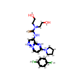 OCCN(CCO)C(=S)Nc1cnn2ccc(N3CCC[C@@H]3c3cc(F)ccc3F)nc12